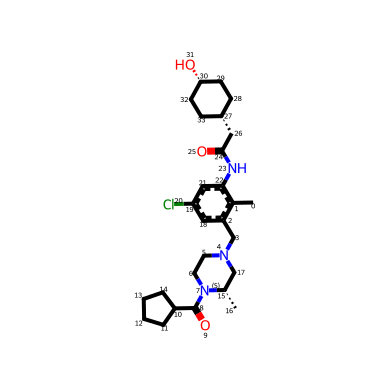 Cc1c(CN2CCN(C(=O)C3CCCC3)[C@@H](C)C2)cc(Cl)cc1NC(=O)C[C@H]1CC[C@@H](O)CC1